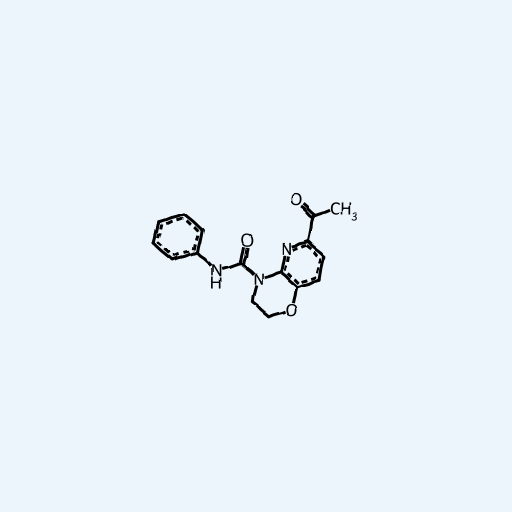 CC(=O)c1ccc2c(n1)N(C(=O)Nc1ccccc1)CCO2